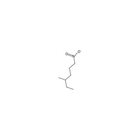 CCC(C)CCC[N+](=O)[O-]